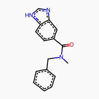 CN(Cc1ccccc1)C(=O)c1ccc2[nH]cnc2c1